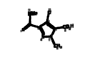 CNC(=O)c1nn(C)c(C(=O)O)c1Cl